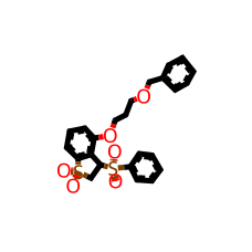 O=S1(=O)CC(S(=O)(=O)c2ccccc2)c2c(OCCCOCc3ccccc3)cccc21